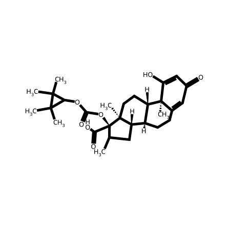 CC1C[C@H]2[C@@H]3CCC4=CC(=O)C=C(O)[C@]4(C)[C@H]3CC[C@]2(C)[C@@]1(OC(=O)OC1C(C)(C)C1(C)C)C(=O)O